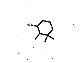 CC1C(C#N)CCCC1(C)C